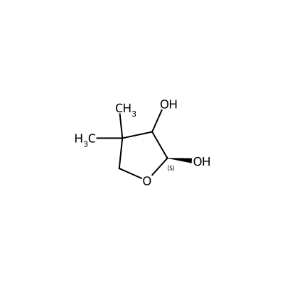 CC1(C)CO[C@H](O)C1O